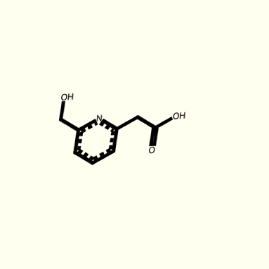 O=C(O)Cc1cccc(CO)n1